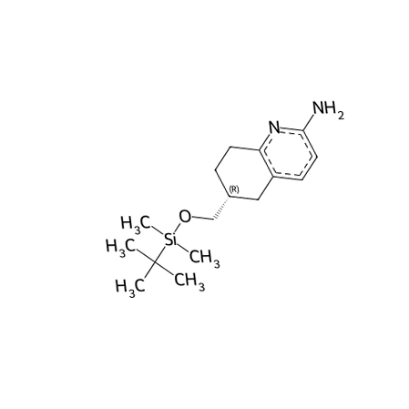 CC(C)(C)[Si](C)(C)OC[C@@H]1CCc2nc(N)ccc2C1